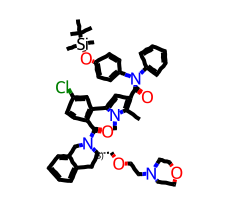 Cc1c(C(=O)N(c2ccccc2)c2ccc(O[Si](C)(C)C(C)(C)C)cc2)cc(-c2cc(Cl)ccc2C(=O)N2Cc3ccccc3C[C@H]2COCCN2CCOCC2)n1C